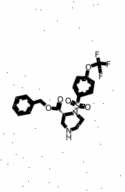 O=C(OCc1ccccc1)[C@H]1CNCCN1S(=O)(=O)c1ccc(OC(F)(F)F)cc1